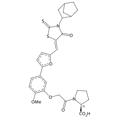 COc1ccc(-c2ccc(C=C3SC(=S)N(C4CC5CCC4C5)C3=O)o2)cc1OCC(=O)N1CCC[C@H]1C(=O)O